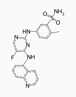 Cc1ccc(Nc2ncc(F)c(Nc3cccc4ncccc34)n2)cc1S(N)(=O)=O